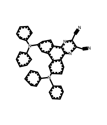 N#Cc1nc2c3ccc(N(c4ccccc4)c4ccccc4)cc3c3cc(N(c4ccccc4)c4ccccc4)ccc3c2nc1C#N